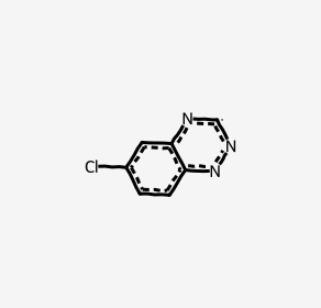 Clc1ccc2nn[c]nc2c1